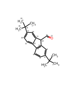 CC(C)(C)c1ccc2c(c1)C(C=O)c1cc(C(C)(C)C)ccc1-2